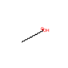 CCCCCCCC=CCCC=CCCCCC(=O)O